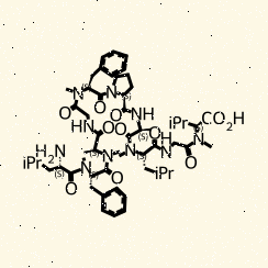 CC(C)C[C@H](N)C(=O)N(C)[C@@H](Cc1ccccc1)C(=O)N(C)[C@@H](C)C(=O)NCC(=O)N(C)[C@@H](Cc1ccccc1)C(=O)N1CCC[C@H]1C(=O)N[C@@H](C)C(=O)N(C)[C@@H](CC(C)C)C(=O)NCC(=O)N(C)[C@H](C(=O)O)C(C)C